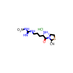 Cl.N#C[C@@H]1SCCN1C(=O)[C@@H](N)CCCNC(=N)N[N+](=O)[O-]